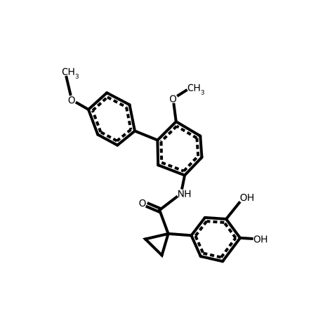 COc1ccc(-c2cc(NC(=O)C3(c4ccc(O)c(O)c4)CC3)ccc2OC)cc1